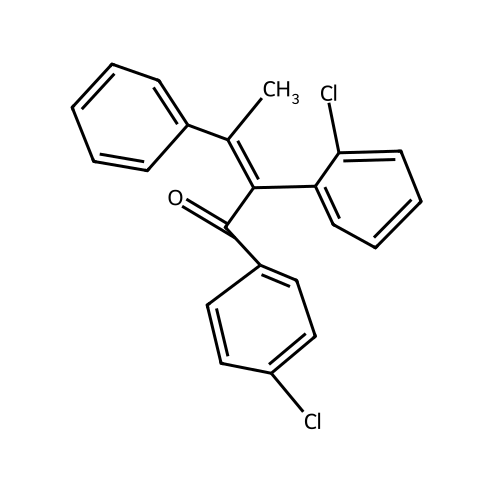 CC(=C(C(=O)c1ccc(Cl)cc1)c1ccccc1Cl)c1ccccc1